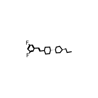 CCC[C@H]1CC[C@H](C2CCC(C=Cc3cc(F)cc(F)c3)CC2)CC1